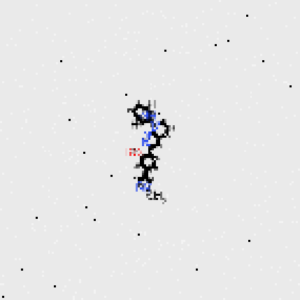 Cn1cc(-c2ccc(-c3cc4c(nn3)N([C@@H]3C[C@H]5CC[C@@H](C3)N5)CCC4)c(O)c2)cn1